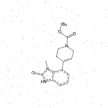 Cn1c(=O)[nH]c2cccc(C3=CCN(C(=O)OC(C)(C)C)CC3)c21